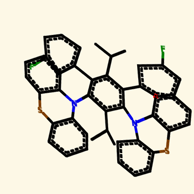 CC(C)c1c(-c2cccc(F)c2)c(N2c3ccccc3Sc3ccccc32)c(C(C)C)c(N2c3ccccc3Sc3ccccc32)c1-c1cccc(F)c1